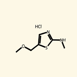 CNc1ncc(COC)s1.Cl